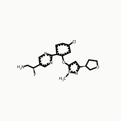 Cn1nc([C@H]2CCOC2)cc1Oc1cc(Cl)ccc1-c1ncc([C@@H](F)CN)cn1